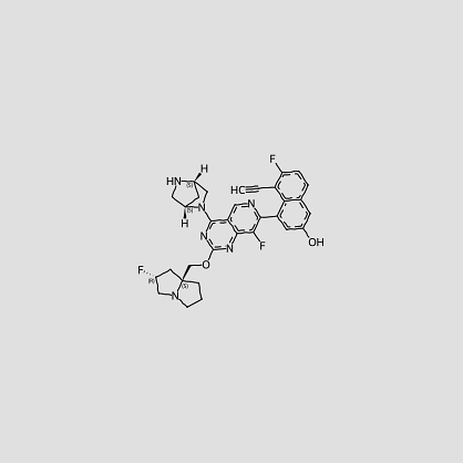 C#Cc1c(F)ccc2cc(O)cc(-c3ncc4c(N5C[C@@H]6C[C@H]5CN6)nc(OC[C@@]56CCCN5C[C@H](F)C6)nc4c3F)c12